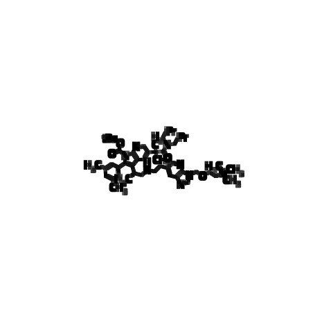 Cc1cc(C)cc(-c2c([C@H](C)CNCCc3cnc4c(c3)ncn4COCC[Si](C)(C)C)c3cc(C(C)(C)C(=O)N(CC(C)C)CC(C)C)cnc3n2C(=O)OC(C)(C)C)c1